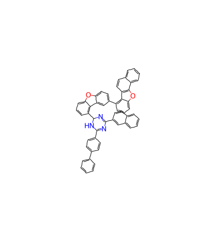 c1ccc(-c2ccc(C3=NC(c4ccc5ccccc5c4)=NC(c4cccc5oc6ccc(-c7cccc8oc9c%10ccccc%10ccc9c78)cc6c45)N3)cc2)cc1